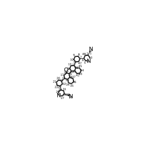 N#Cc1cncc(-c2cccc(-c3cc4oc5cc(-c6cccc(-c7cncc(C#N)c7)c6)c6ccccc6c5c4c4ccccc34)c2)c1